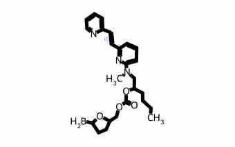 BC1CCC(COC(=O)OC(CCCC)CN(C)c2cccc(/C=C/c3ccccn3)n2)O1